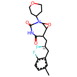 Cc1ccc(F)c(C[C@@H](F)CC2C(=O)NC(=O)N(C3CCOCC3)C3OC23)c1